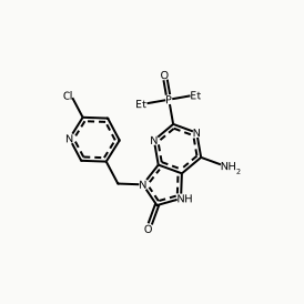 CCP(=O)(CC)c1nc(N)c2[nH]c(=O)n(Cc3ccc(Cl)nc3)c2n1